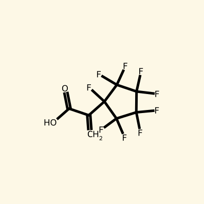 C=C(C(=O)O)C1(F)C(F)(F)C(F)(F)C(F)(F)C1(F)F